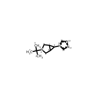 CC(C)(C)N1CC2C(C1)C2n1cnnc1